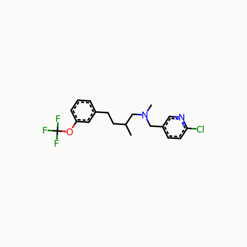 CC(CCc1cccc(OC(F)(F)F)c1)CN(C)Cc1ccc(Cl)nc1